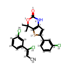 CC1(C)OC(=O)Nc2cc(-c3cccc(Cl)c3)sc21.N#CC=C(Cl)c1cccc(Cl)c1